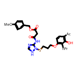 CCCc1c(OCCCSN2NC=NC2NC(=O)CC(=O)OCc2ccc(OC)cc2)ccc(C(C)=O)c1O